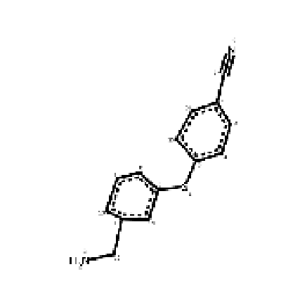 N#Cc1ccc(Sc2cccc(CN)c2)cc1